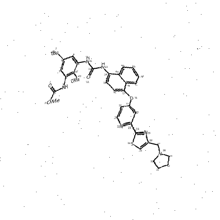 COC(=O)Nc1cc(C(C)(C)C)cc(NC(=O)Nc2ccc(Oc3ccnc(-c4nc(CN5CCCC5)cs4)c3)c3ccccc23)c1OC